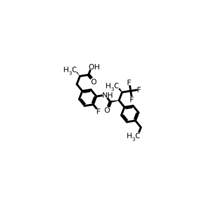 CCc1ccc([C@@H](C(=O)Nc2cc(C[C@H](C)C(=O)O)ccc2F)[C@@H](C)C(F)(F)F)cc1